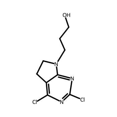 OCCCN1CCc2c(Cl)nc(Cl)nc21